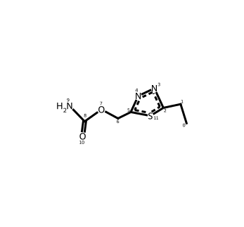 CCc1nnc(COC(N)=O)s1